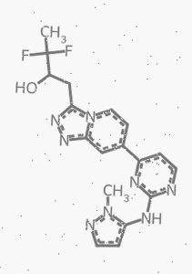 Cn1nccc1Nc1nccc(-c2ccn3c(CC(O)C(C)(F)F)nnc3c2)n1